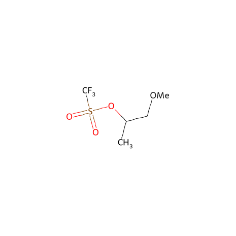 COCC(C)OS(=O)(=O)C(F)(F)F